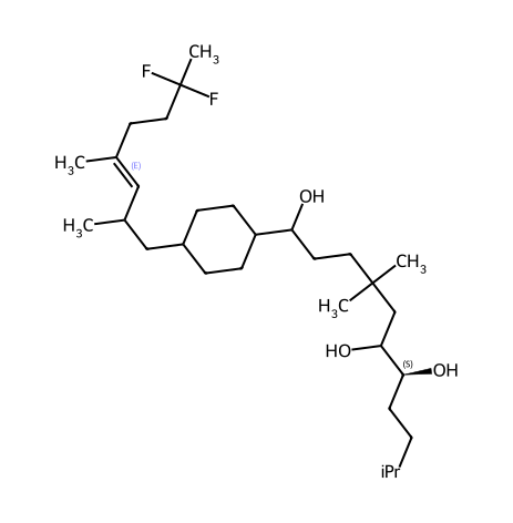 C/C(=C\C(C)CC1CCC(C(O)CCC(C)(C)CC(O)[C@@H](O)CCC(C)C)CC1)CCC(C)(F)F